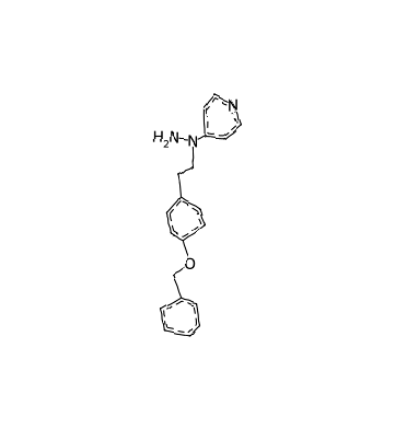 NN(CCc1ccc(OCc2ccccc2)cc1)c1ccncc1